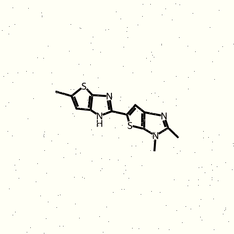 Cc1cc2[nH]c(-c3cc4nc(C)n(C)c4s3)nc2s1